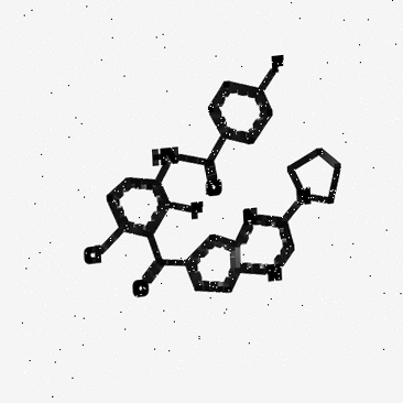 O=C(Nc1ccc(Cl)c(C(=O)c2ccc3ncc(N4CCCC4)nc3c2)c1F)c1ccc(F)cc1